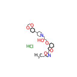 CCc1cnc(-c2cc3c(OC[C@@H](O)CN4CCC(c5ccc6c(c5)OCCO6)CC4)cccc3o2)o1.Cl